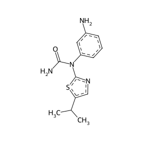 CC(C)c1cnc(N(C(N)=O)c2cccc(N)c2)s1